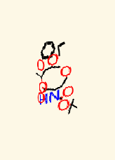 C=CCO[C@H]1COCC[C@H](NC(=O)OC(C)(C)C)C(=O)O[C@@H](C)[C@@H]1Oc1ccccc1